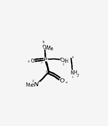 CN.CNC(=O)P(=O)(O)OC